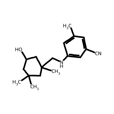 Cc1cc(C#N)cc(NCC2(C)CC(O)CC(C)(C)C2)c1